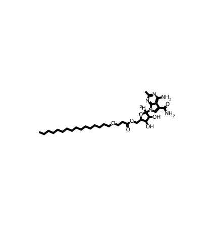 [2H]C1(n2cc(C(N)=O)c3c(N)nc(C)nc32)OC(COC(=O)CCOCCCCCCCCCCCCCCCC)C(O)C1O